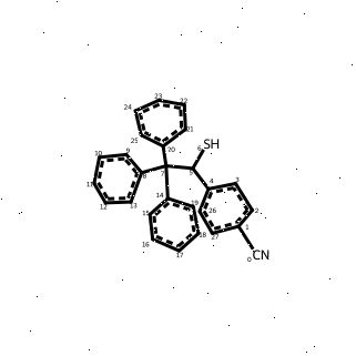 N#Cc1ccc(C(S)C(c2ccccc2)(c2ccccc2)c2ccccc2)cc1